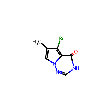 Cc1cn2nc[nH]c(=O)c2c1Br